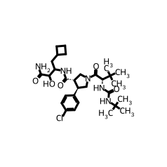 CC(C)(C)NC(=O)N[C@H](C(=O)N1C[C@@H](C(=O)NC(CC2CCC2)C(O)C(N)=O)[C@H](c2ccc(Cl)cc2)C1)C(C)(C)C